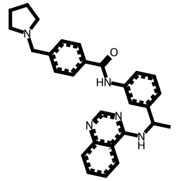 CC(Nc1ncnc2ccccc12)c1cccc(NC(=O)c2ccc(CN3CCCC3)cc2)c1